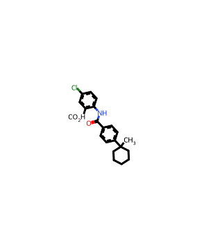 CC1(c2ccc(C(=O)Nc3ccc(Cl)cc3C(=O)O)cc2)CCCCC1